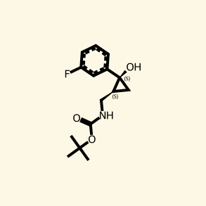 CC(C)(C)OC(=O)NC[C@@H]1C[C@@]1(O)c1cccc(F)c1